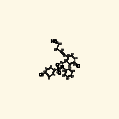 O=S(=O)(c1ccc(Cl)cc1)N(Cc1cc(Cl)ccc1C#CCCO)c1ccccc1